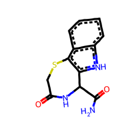 NC(=O)C1NC(=O)CSc2c1[nH]c1ccccc21